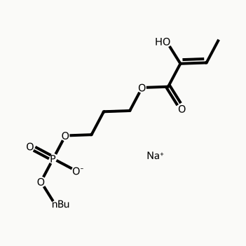 CC=C(O)C(=O)OCCCOP(=O)([O-])OCCCC.[Na+]